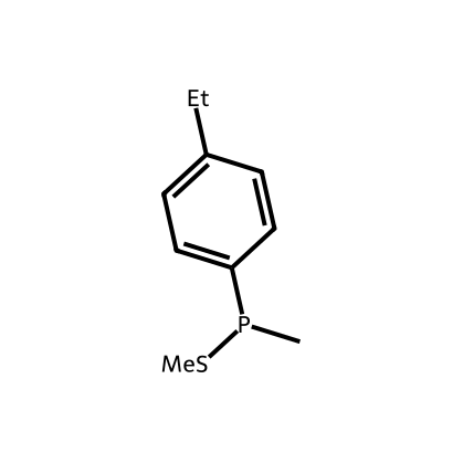 CCc1ccc(P(C)SC)cc1